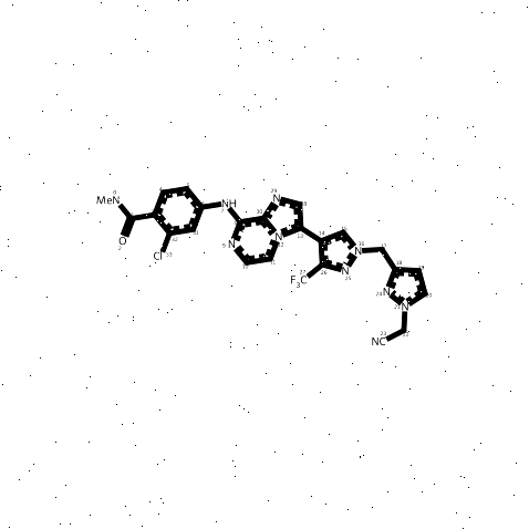 CNC(=O)c1ccc(Nc2nccn3c(-c4cn(Cc5ccn(CC#N)n5)nc4C(F)(F)F)cnc23)cc1Cl